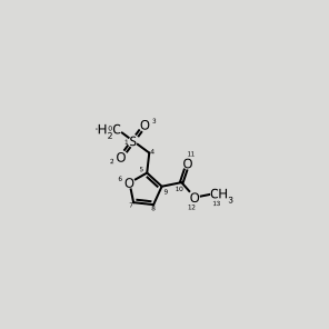 [CH2]S(=O)(=O)Cc1occc1C(=O)OC